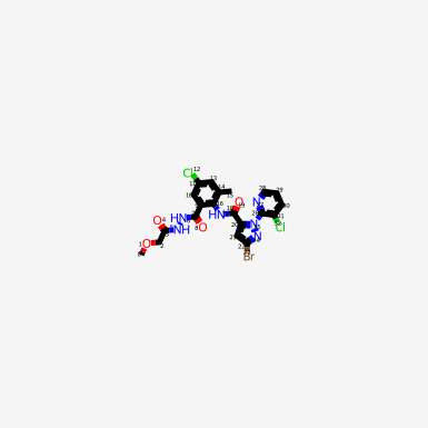 COCC(=O)NNC(=O)c1cc(Cl)cc(C)c1NC(=O)c1cc(Br)nn1-c1ncccc1Cl